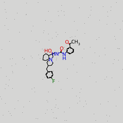 CC(=O)c1cccc(NC(=O)NCC(O)(CN2CCC(Cc3ccc(F)cc3)CC2)C2CCCCC2)c1